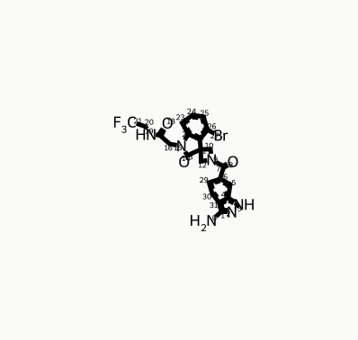 Nc1n[nH]c2cc(C(=O)N3CC4(C3)C(=O)N(CC(=O)NCC(F)(F)F)c3cccc(Br)c34)ccc12